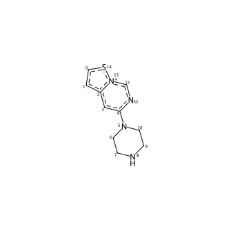 c1cc2cc(N3CCNCC3)nc[n+]2s1